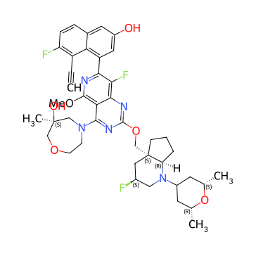 C#Cc1c(F)ccc2cc(O)cc(-c3nc(OC)c4c(N5CCOC[C@@](C)(O)C5)nc(OC[C@]56CCC[C@H]5N(C5C[C@@H](C)O[C@@H](C)C5)C[C@@H](F)C6)nc4c3F)c12